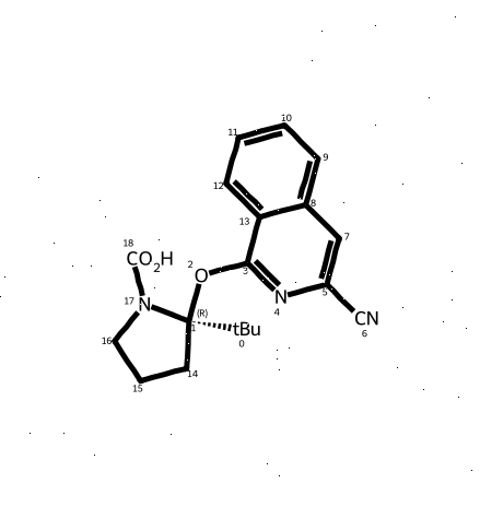 CC(C)(C)[C@]1(Oc2nc(C#N)cc3ccccc23)CCCN1C(=O)O